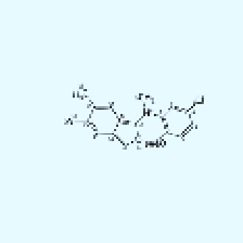 COc1ccc(Cl)cc1N(C)c1occ2cc(C(C)C)c(C)cc12